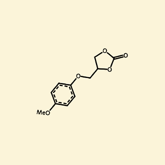 COc1ccc(OCC2COC(=O)O2)cc1